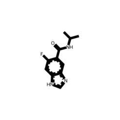 CC(C)NC(=O)c1cc2nc[nH]c2cc1F